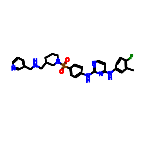 Cc1cc(Nc2ccnc(Nc3ccc(S(=O)(=O)N4CCCC(CNCc5cccnc5)C4)cc3)n2)ccc1F